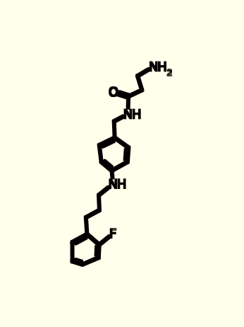 NCCC(=O)NCc1ccc(NCCCc2ccccc2F)cc1